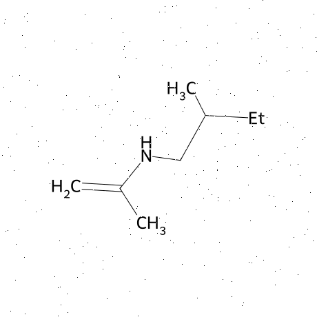 C=C(C)NCC(C)CC